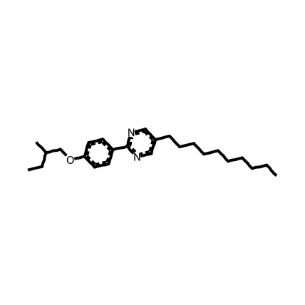 CCCCCCCCCCc1cnc(-c2ccc(OCC(C)CC)cc2)nc1